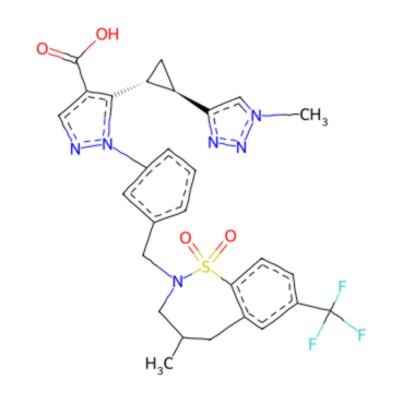 CC1Cc2cc(C(F)(F)F)ccc2S(=O)(=O)N(Cc2cccc(-n3ncc(C(=O)O)c3[C@@H]3C[C@H]3c3cn(C)nn3)c2)C1